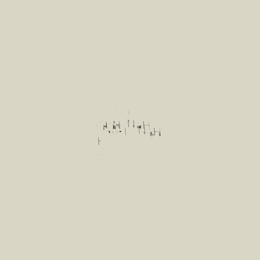 N#C[O-].O=C([O-])[O-].[K+].[K+].[K+].[NaH].[NaH].[NaH]